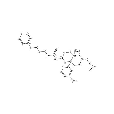 COc1cccc(C23CCN(CC4CC4)CC2(OC)CCC(NC(=O)CCCCCc2ccccc2)C3)c1